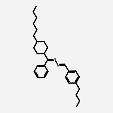 CCCCCCC1CCC(C(=NN=Cc2ccc(CCCC)cc2)c2ccccc2)CC1